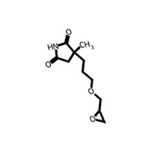 CC1(CCCOCC2CO2)CC(=O)NC1=O